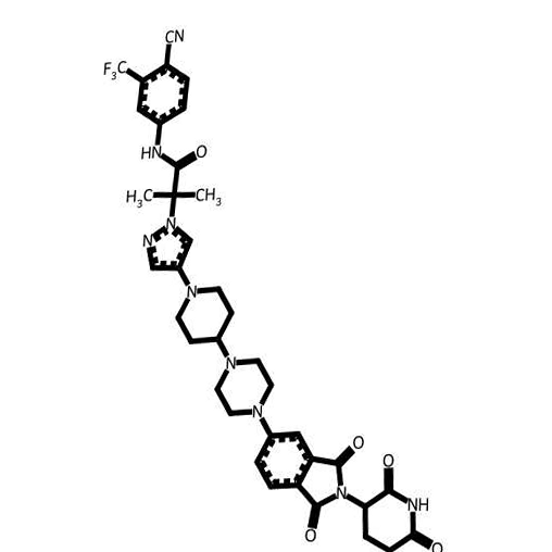 CC(C)(C(=O)Nc1ccc(C#N)c(C(F)(F)F)c1)n1cc(N2CCC(N3CCN(c4ccc5c(c4)C(=O)N(C4CCC(=O)NC4=O)C5=O)CC3)CC2)cn1